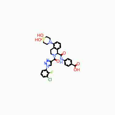 O=C(O)c1ccc(NC(=O)C2c3cccc(N4CCS(O)(O)CC4)c3CCN2C(=O)c2cn(-c3cccc(Cl)c3F)nn2)cc1